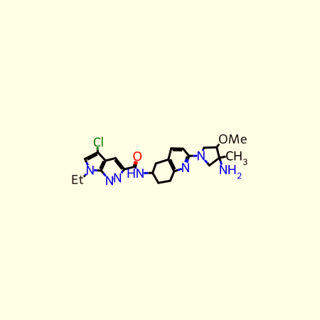 CCn1cc(Cl)c2cc(C(=O)NC3CCc4nc(N5CC(OC)C(C)(N)C5)ccc4C3)nnc21